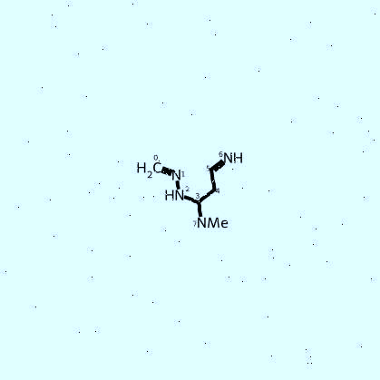 C=NNC(CC=N)NC